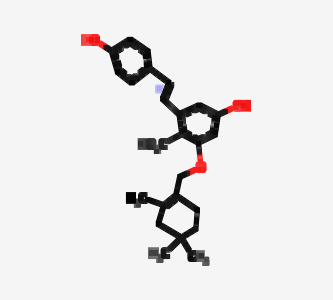 CC1=C(COc2cc(O)cc(/C=C/c3ccc(O)cc3)c2C(=O)O)CCC(C)(C)C1